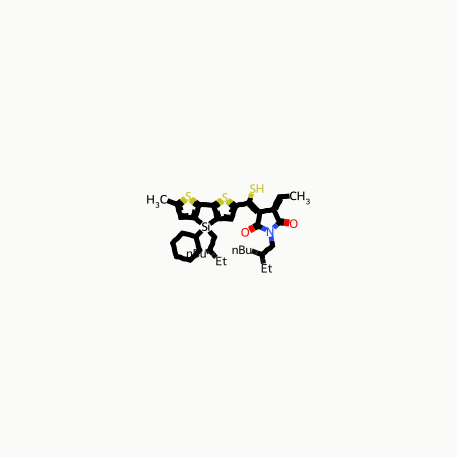 CC=C1C(=O)N(CC(CC)CCCC)C(=O)/C1=C(/S)c1cc2c(s1)-c1sc(C)cc1[Si]2(CC(CC)CCCC)C1CCCCC1